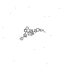 CN1CCc2sc(S(=O)(=O)NC(=O)Nc3c(-c4cnn(C5CCOC5)c4)ccc4c3CCC4)cc2C1